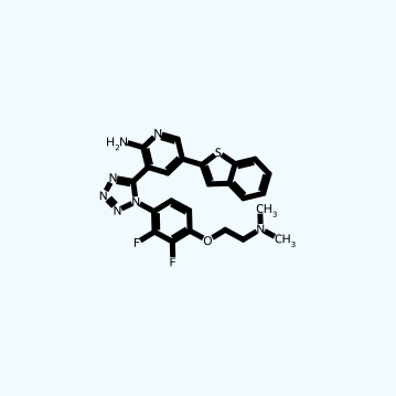 CN(C)CCOc1ccc(-n2nnnc2-c2cc(-c3cc4ccccc4s3)cnc2N)c(F)c1F